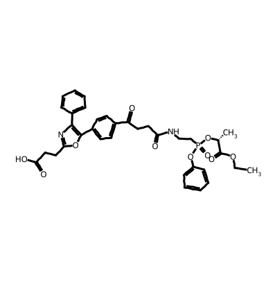 CCOC(=O)[C@@H](C)OP(=O)(CCNC(=O)CCC(=O)c1ccc(-c2oc(CCC(=O)O)nc2-c2ccccc2)cc1)Oc1ccccc1